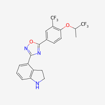 CC(Oc1ccc(-c2nc(-c3cccc4c3CCN4)no2)cc1C(F)(F)F)C(F)(F)F